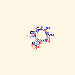 CC(C)C[C@@H]1NC(=O)[C@@H](Cc2ccccc2)NC(=O)[C@H](CCN)NC(=O)[C@@H](NC(=O)[C@@H](CO)NC(=O)[C@H]([C@@H](C)O)N2CCCC2=O)CCNC(=O)[C@H]([C@@H](C)O)NC(=O)[C@H](CCN)NC(=O)[C@H](CCN)NC1=O